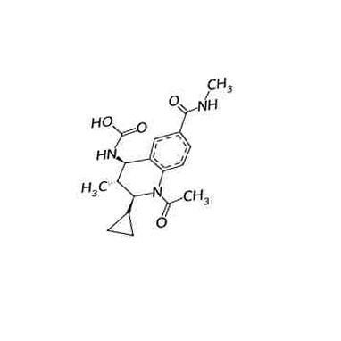 CNC(=O)c1ccc2c(c1)[C@H](NC(=O)O)[C@@H](C)[C@H](C1CC1)N2C(C)=O